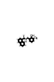 COc1cccc(CN[C@H](C)c2cccc3ccccc23)c1O